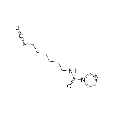 O=C=NCCCCCCNC(=O)n1ccnc1